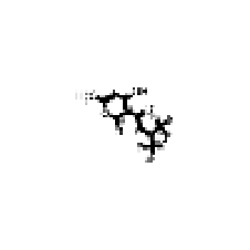 Cc1cc(O)c(C(=O)CC(C(F)(F)F)C(F)(F)F)c(=O)o1